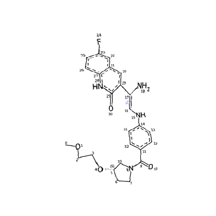 COCCO[C@H]1CCN(C(=O)c2ccc(N/C=C(\N)c3cc4cc(F)ccc4[nH]c3=O)cc2)C1